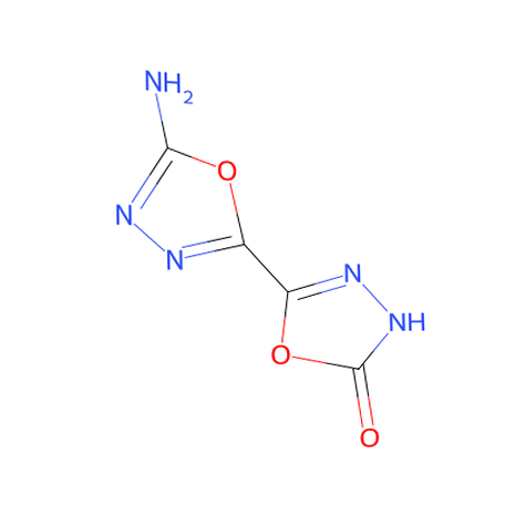 Nc1nnc(-c2n[nH]c(=O)o2)o1